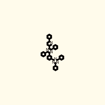 c1ccc(-c2ccc(-c3nc(-c4ccccc4)c(-c4cccc(-c5nc(-c6ccccc6)nc(-c6ccccc6)n5)c4)nc3-c3ccccc3)cn2)cc1